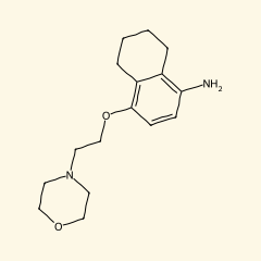 Nc1ccc(OCCN2CCOCC2)c2c1CCCC2